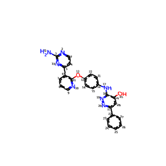 Nc1nccc(-c2cccnc2Oc2ccc(Nc3nnc(-c4ccccc4)cc3O)cc2)n1